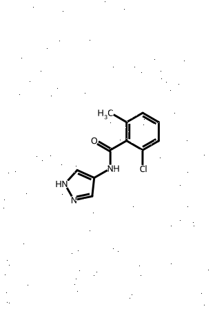 Cc1cccc(Cl)c1C(=O)Nc1cn[nH]c1